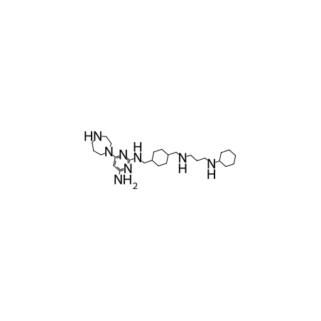 Nc1cc(N2CCCNCC2)nc(NCC2CCC(CNCCCNC3CCCCC3)CC2)n1